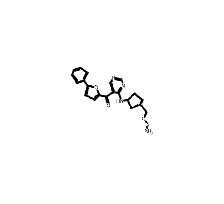 NSOCC1CCC(Nc2ncncc2C(=O)c2ccc(-c3ccccc3)o2)C1